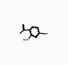 C=C(C)c1ccc(C(C)C)cc1NC